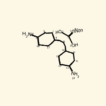 CCCCCCCCCC(O)O.NC1CCC(CC2CCC(N)CC2)CC1